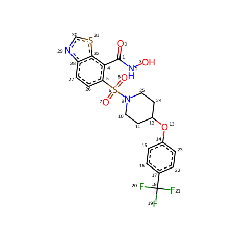 O=C(NO)c1c(S(=O)(=O)N2CCC(Oc3ccc(C(F)(F)F)cc3)CC2)ccc2ncsc12